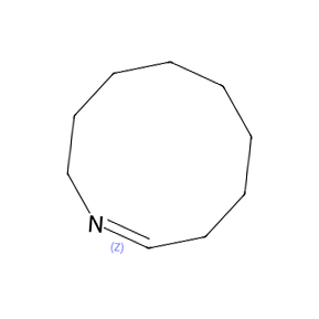 C1=N\CCCCCCCC/1